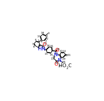 Cc1ccc(-c2ccccc2C(=O)Nc2ccc(C(=O)N3CCC(=O)N(CC(=O)O)c4cc(C)ccc43)cc2)cc1